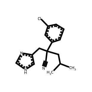 CC(C)CC(C#N)(Cc1c[nH]cn1)c1cccc(Cl)c1